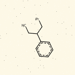 CC(C)CC(CC#N)c1ccccc1